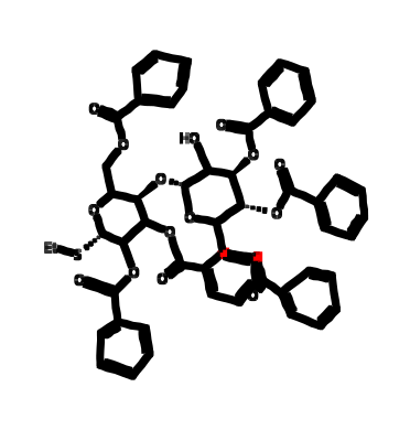 CCS[C@@H]1OC(COC(=O)c2ccccc2)[C@@H](O[C@H]2OC(COC(=O)c3ccccc3)[C@@H](OC(=O)c3ccccc3)[C@H](OC(=O)c3ccccc3)C2O)C(OC(=O)c2ccccc2)C1OC(=O)c1ccccc1